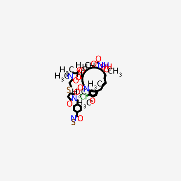 COc1cc2cc(c1Cl)N(C)C(=O)CC(OC(=O)[C@@H](C)N(C)C(=O)CCSC1CC(=O)N(CC3CCC(C(=O)N=S)CC3)C1=O)[C@H]1O[C@@H]1[C@@H](C)[C@H]1C[C@](O)(NC(=O)O1)[C@@H](OC)/C=C/C=C(\C)C2